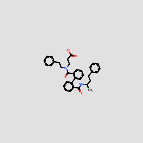 CC(CCc1ccccc1)NC(=O)c1ccccc1-c1ccccc1C(=O)N(CCC(=O)O)CCc1ccccc1